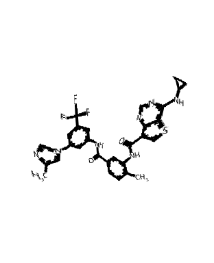 Cc1cn(-c2cc(NC(=O)c3ccc(C)c(NC(=O)c4csc5c(NC6CC6)ncnc45)c3)cc(C(F)(F)F)c2)cn1